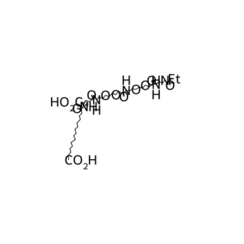 CCC(=O)NCCNC(=O)COCCOCCNC(=O)COCCOCCNC(=O)CC[C@H](NC(=O)CCCCCCCCCCCCCCC(=O)O)C(=O)O